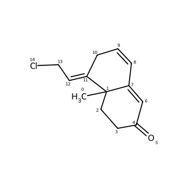 CC12CCC(=O)C=C1C=CCC2=CCCl